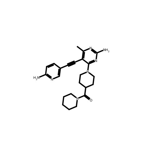 Cc1nc(N)nc(N2CCC(C(=O)N3CCCCC3)CC2)c1C#Cc1ccc(N)nc1